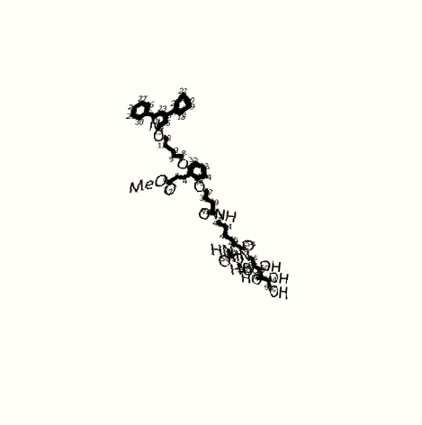 COC(=O)CCc1c(OCCCCCOc2cc(-c3ccccc3)cc(-c3ccccc3)n2)cccc1OCCCC(=O)NCCCCC(NC(=O)OC(C)(C)C)C(=O)NCC(O)C(O)C(O)C(O)CO